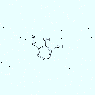 Oc1cccc(SS)c1O